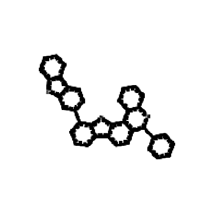 c1ccc(-c2nc3ccccc3c3c2ccc2c4cccc(-c5ccc6c(c5)sc5ccccc56)c4sc23)cc1